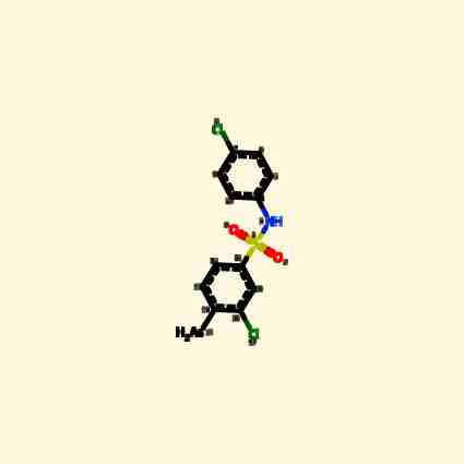 O=S(=O)(Nc1ccc(Cl)cc1)c1ccc([AsH2])c(Cl)c1